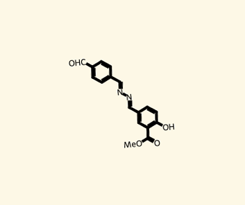 COC(=O)c1cc(/C=N/N=C/c2ccc(C=O)cc2)ccc1O